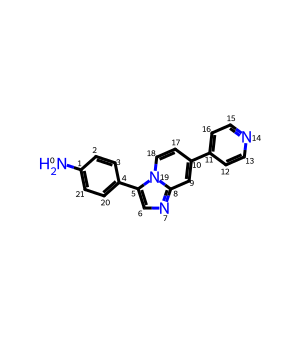 Nc1ccc(-c2cnc3cc(-c4ccncc4)ccn23)cc1